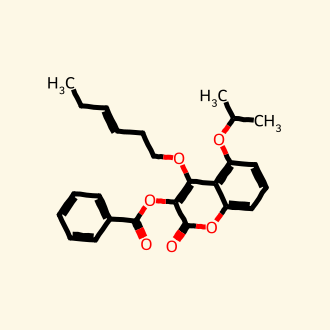 CCC=CCCOc1c(OC(=O)c2ccccc2)c(=O)oc2cccc(OC(C)C)c12